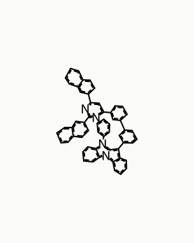 c1ccc(-n2c3ccccc3n3c4ccccc4c(-c4cccc(-c5cccc(-c6cc(-c7ccc8ccccc8c7)nc(-c7ccc8ccccc8c7)n6)c5)c4)c23)cc1